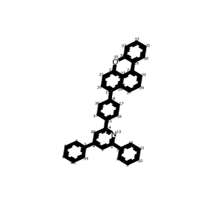 c1ccc(-c2cc(-c3ccccc3)nc(-c3ccc(-c4ccc5c6c(cccc46)-c4ccccc4O5)cc3)c2)cc1